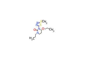 CCCOC1CCN(CCC)C(=O)N1c1nnc(SC)s1